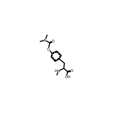 CNC(Cc1ccc(OC(=O)N(C)C)cc1)C(=O)O